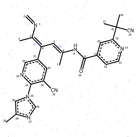 C=N/C(C)=C(\C=C(/C)NC(=O)c1ccnc(C(C)(C)C#N)c1)c1cnc(-n2cnc(C)c2)c(C#N)c1